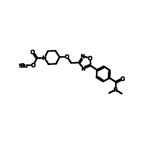 CN(C)C(=O)c1ccc(-c2nc(COC3CCN(C(=O)OC(C)(C)C)CC3)no2)cc1